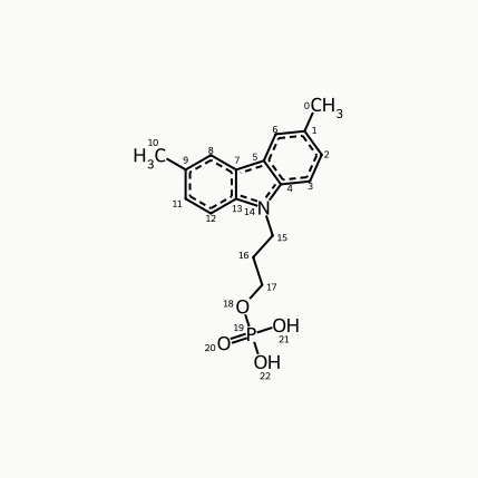 Cc1ccc2c(c1)c1cc(C)ccc1n2CCCOP(=O)(O)O